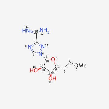 COCC[C@H]1O[C@@H](n2cnc(C(=N)N)n2)[C@H](O)[C@@H]1O